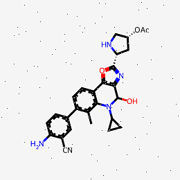 CC(=O)O[C@H]1CN[C@@H](c2nc3c(o2)-c2ccc(-c4ccc(N)c(C#N)c4)c(C)c2N(C2CC2)C3O)C1